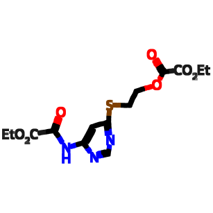 CCOC(=O)C(=O)Nc1cc(SCCOC(=O)C(=O)OCC)ncn1